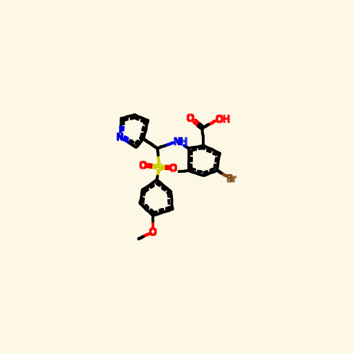 COc1ccc(S(=O)(=O)C(Nc2c(C)cc(Br)cc2C(=O)O)c2cccnc2)cc1